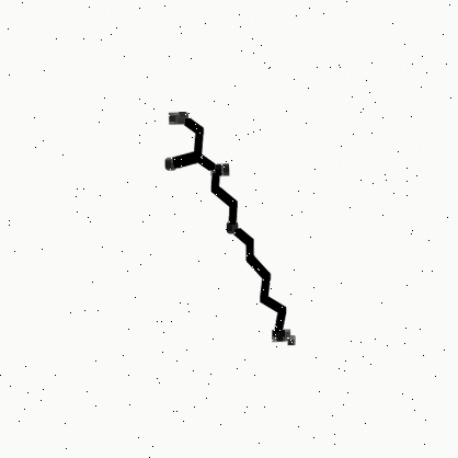 NCCCCCOCCNC(=O)CO